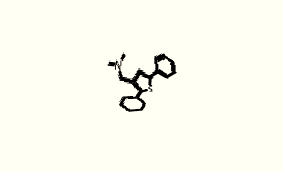 CN(C)CC1=C(C2CCCCC2)SC(c2ccccc2)C1